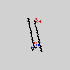 CCCCCCCCCCCCCCCCCC(=O)CC(N)(CC)NCC.CCCCCCCCCCCCCCCCCC(=O)OCC(O)CO